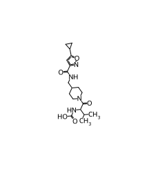 CC(C)C(NC(=O)O)C(=O)N1CCC(CNC(=O)c2cc(C3CC3)on2)CC1